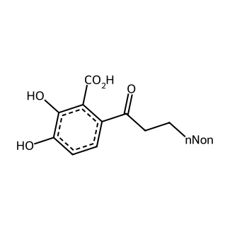 CCCCCCCCCCCC(=O)c1ccc(O)c(O)c1C(=O)O